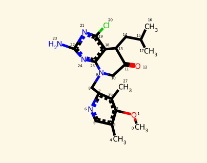 COc1c(C)cnc(CN2CC(=O)C(CC(C)C)c3c(Cl)nc(N)nc32)c1C